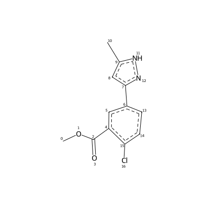 COC(=O)c1cc(-c2cc(C)[nH]n2)ccc1Cl